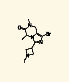 CC1C(=O)N(C)Cc2c(Br)nc(C3CN(I)C3)n21